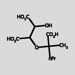 CCCC(C)(OC(C(=O)O)C(O)C(=O)O)C(=O)O